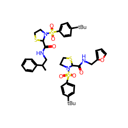 CC(C)(C)c1ccc(S(=O)(=O)N2CCSC2C(=O)NCc2ccco2)cc1.CC(CNC(=O)C1SCCN1S(=O)(=O)c1ccc(C(C)(C)C)cc1)c1ccccc1